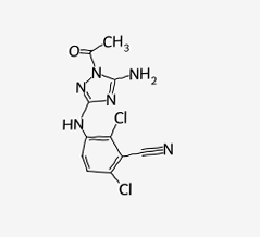 CC(=O)n1nc(Nc2ccc(Cl)c(C#N)c2Cl)nc1N